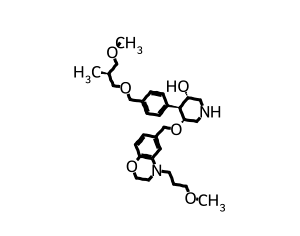 COCCCN1CCOc2ccc(CO[C@H]3CNC[C@@H](O)[C@@H]3c3ccc(COC[C@@H](C)COC)cc3)cc21